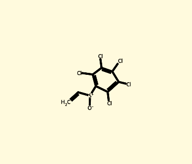 C=C[S+]([O-])c1c(Cl)c(Cl)c(Cl)c(Cl)c1Cl